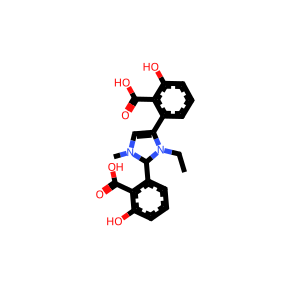 CCN1C(c2cccc(O)c2C(=O)O)=CN(C)C1c1cccc(O)c1C(=O)O